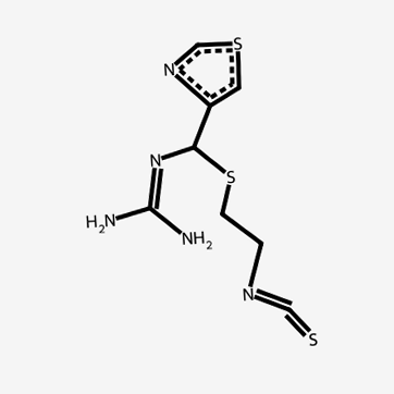 NC(N)=NC(SCCN=C=S)c1cscn1